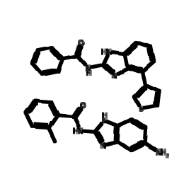 Cc1ccccc1C(=O)Nc1nc2cc(N)ccc2[nH]1.O=C(Nc1nc2c(-c3ccsc3)cccc2[nH]1)c1ccccc1